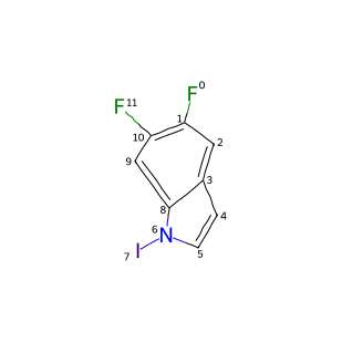 Fc1cc2ccn(I)c2cc1F